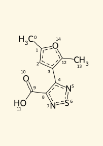 Cc1cc(-c2nsnc2C(=O)O)c(C)o1